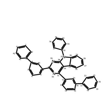 c1ccc(-c2cccc(-c3nc(-c4cccc(-c5ccccc5)c4)c4c5ccccc5n(-c5ccccc5)c4n3)c2)cc1